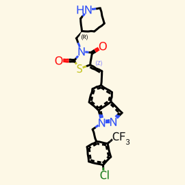 O=C1S/C(=C\c2ccc3c(cnn3Cc3ccc(Cl)cc3C(F)(F)F)c2)C(=O)N1C[C@@H]1CCCNC1